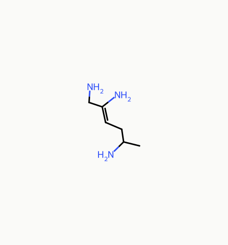 CC(N)CC=C(N)CN